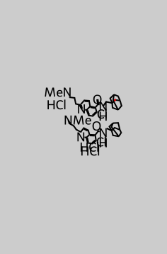 CNCCCc1ccc2c(C(=O)NCC34CC5CC(CC(C5)C3)C4)c(Cl)ccc2n1.CNCCCc1ccc2c(C(=O)NCC34CC5CC(CC(C5)C3)C4)c(Cl)ccc2n1.Cl.Cl.Cl